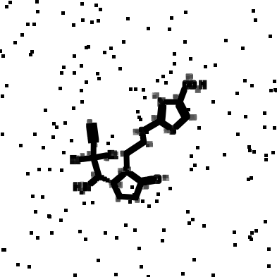 C#CC(CC)(CC)C(N)[C@H]1CCC(=O)N1CCSc1nc(C(=O)O)cs1